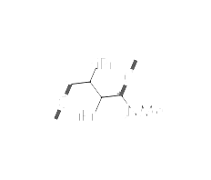 C=C=CC(C(C)C)C(C(=C=C)NC)C(C)C